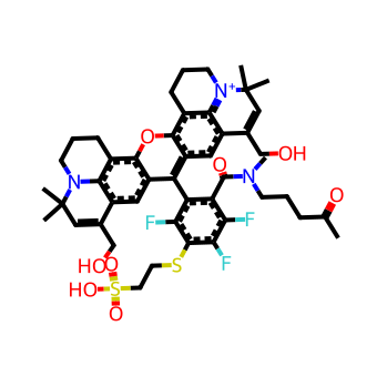 CC(=O)CCCN(C)C(=O)c1c(F)c(F)c(SCCS(=O)(=O)O)c(F)c1C1=c2cc3c4c(c2Oc2c1cc1c5c2CCCN5C(C)(C)C=C1CO)CCC[N+]=4C(C)(C)C=C3CO